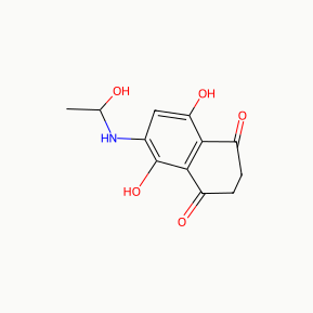 CC(O)Nc1cc(O)c2c(c1O)C(=O)CCC2=O